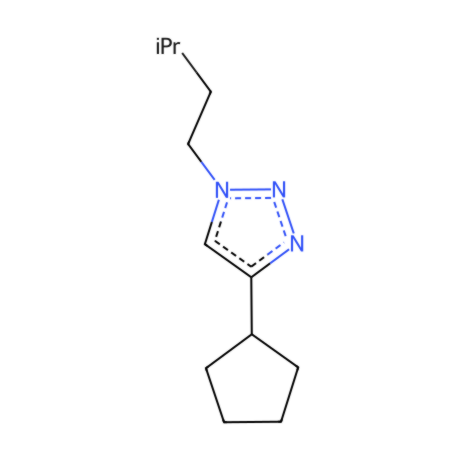 CC(C)CCn1cc(C2CCCC2)nn1